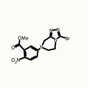 COC(=O)c1cc(N2CCn3c(Br)nnc3C2)ccc1[N+](=O)[O-]